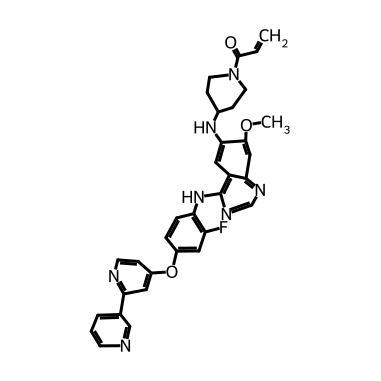 C=CC(=O)N1CCC(Nc2cc3c(Nc4ccc(Oc5ccnc(-c6cccnc6)c5)cc4F)ncnc3cc2OC)CC1